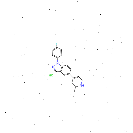 CC1CC(c2ccc3c(cnn3-c3ccc(F)cc3)c2)=CCN1.Cl